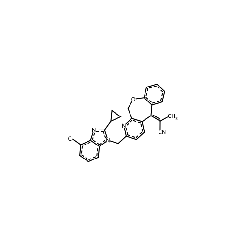 CC(C#N)=C1c2ccccc2OCc2nc(Cn3c(C4CC4)nc4c(Cl)cccc43)ccc21